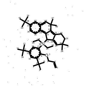 C=CCOc1c(C(C)(C)C)cc(C(C)(C)C)cc1[Si](CC)(CC)C1C2=CC(C)(C)CCC2=C2C1=c1ccc(C(C)(C)C)cc1=CC2(C)C